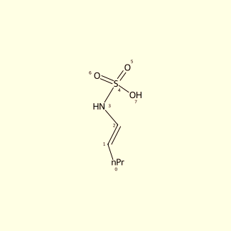 CCCC=CNS(=O)(=O)O